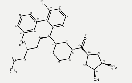 COCCCC[C@@H](c1cccc(F)c1-c1cccc(C)c1)C1CCCN(C(=O)[C@H]2C[C@@H](N)[C@@H](O)C2)C1